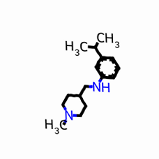 CC(C)c1cccc(NCC2CCN(C)CC2)c1